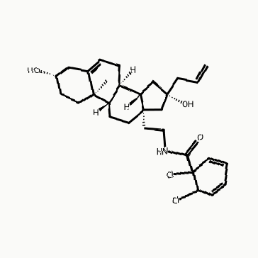 C=CC[C@]1(O)C[C@H]2[C@@H]3CC=C4C[C@@H](O)CC[C@]4(C)[C@H]3CC[C@]2(CCNC(=O)C2(Cl)C=CC=CC2Cl)C1